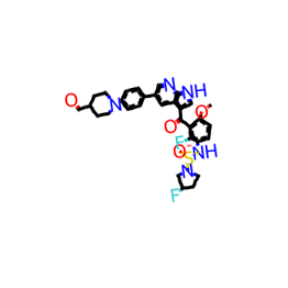 COc1ccc(N[S+]([O-])N2CCC(F)C2)c(F)c1C(=O)c1c[nH]c2ncc(-c3ccc(N4CCC(C=O)CC4)cc3)cc12